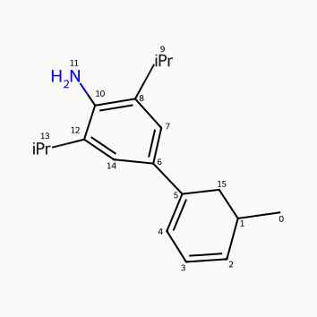 CC1C=CC=C(c2cc(C(C)C)c(N)c(C(C)C)c2)C1